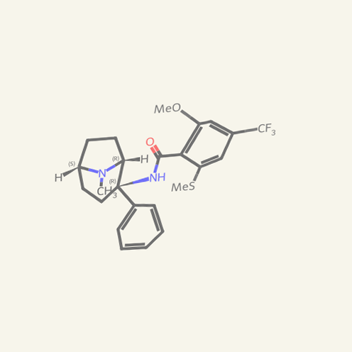 COc1cc(C(F)(F)F)cc(SC)c1C(=O)N[C@@]1(c2ccccc2)CC[C@@H]2CC[C@H]1N2C